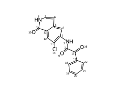 O=C(Nc1cc2cc[nH]c(=O)c2cc1Cl)C(=O)c1ccccc1